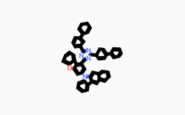 C1=CC(c2cccc(-c3nc(-c4cc(-n5c6ccccc6c6cc7ccccc7cc65)cc5oc6ccccc6c45)nc(C4C=CC(c5ccccc5)=CC4)n3)c2)=CCC1